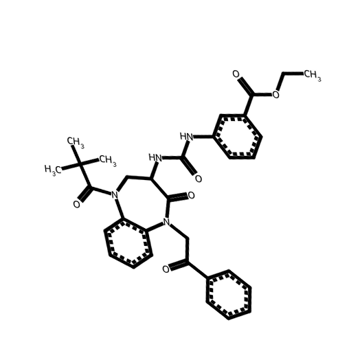 CCOC(=O)c1cccc(NC(=O)NC2CN(C(=O)C(C)(C)C)c3ccccc3N(CC(=O)c3ccccc3)C2=O)c1